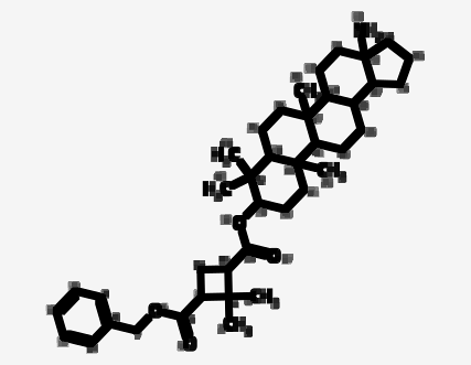 CC1(C)C(C(=O)OCc2ccccc2)CC1C(=O)OC1CCC2(C)C(CCC3(C)C4CCC5(N)CCCC5C4CCC32)C1(C)C